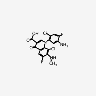 CNc1c(F)cc2c(=O)c(C(=O)O)cn(-c3cc(N)c(F)cc3Cl)c2c1Cl